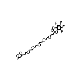 CC(=O)CC(=O)CCOCCOCCOCCOCCOCCC(=O)Oc1c(F)c(F)c(F)c(F)c1F